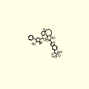 N#C[C@@H]1[C@@H](c2ccccc2)CN(C(=O)[C@@H]2CC[C@@H]3CCCC[C@H](NC(=O)c4cc5cc([C@@H](F)P(=O)(O)O)ccc5s4)C(=O)N32)C12CC2